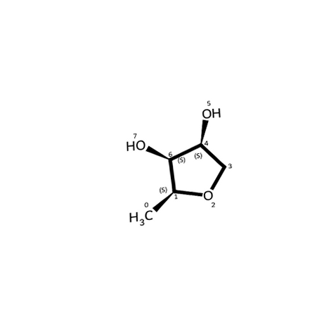 C[C@@H]1OC[C@H](O)[C@@H]1O